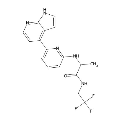 CC(Nc1ccnc(-c2ccnc3[nH]ccc23)n1)C(=O)NCC(F)(F)F